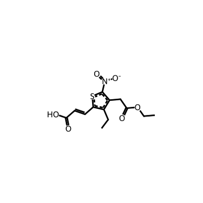 CCOC(=O)Cc1c([N+](=O)[O-])sc(C=CC(=O)O)c1CC